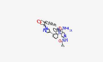 COc1c(Nc2cc(NC(=O)C3CC3)ncc2C(N)=O)cccc1-c1cnn([C@@H]2COC[C@H]2OC)c1